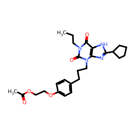 CCCn1c(=O)c2[nH]c(C3CCCC3)nc2n(CCCc2ccc(OCCOC(C)=O)cc2)c1=O